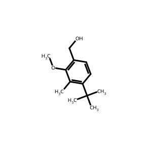 COc1c(CO)ccc(C(C)(C)C)c1C